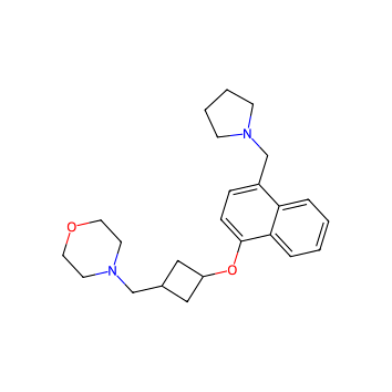 c1ccc2c(OC3CC(CN4CCOCC4)C3)ccc(CN3CCCC3)c2c1